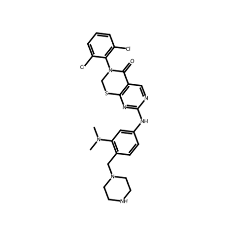 CN(C)c1cc(Nc2ncc3c(n2)SCN(c2c(Cl)cccc2Cl)C3=O)ccc1CN1CCNCC1